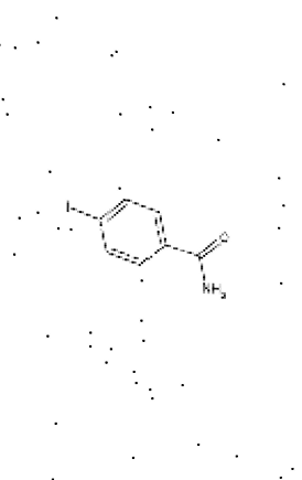 NC(=O)c1ccc(I)cc1